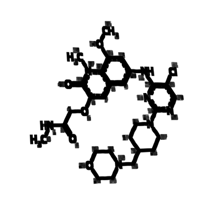 CNC(=O)COc1cc2cc(Nc3nc(N4CCC(CN5CCOCC5)CC4)ncc3Cl)cc(OC)c2n(C)c1=O